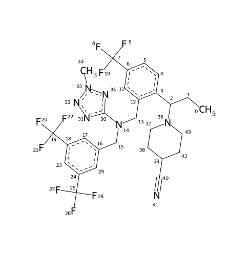 CCC(c1ccc(C(F)(F)F)cc1CN(Cc1cc(C(F)(F)F)cc(C(F)(F)F)c1)c1nnn(C)n1)N1CCC(C#N)CC1